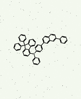 c1ccc(-c2ccc3ccc(-c4ccc(N(c5ccccc5)c5cccc6c5-c5ccccc5C6(c5ccccc5)c5ccccc5)cc4)cc3c2)cc1